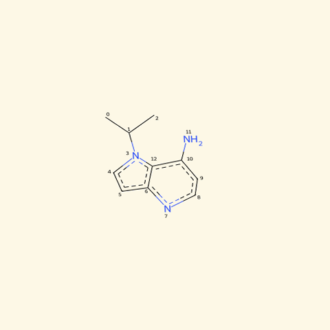 CC(C)n1ccc2nccc(N)c21